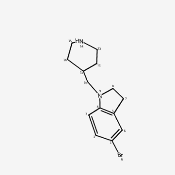 Brc1ccc2c(c1)CCN2[CH]C1CCNCC1